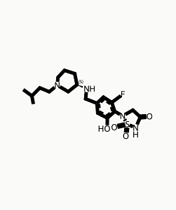 CC(C)CCN1CCC[C@H](NCc2cc(O)c(N3CC(=O)NS3(=O)=O)c(F)c2)C1